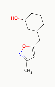 Cc1cc(CC2CCCC(O)C2)on1